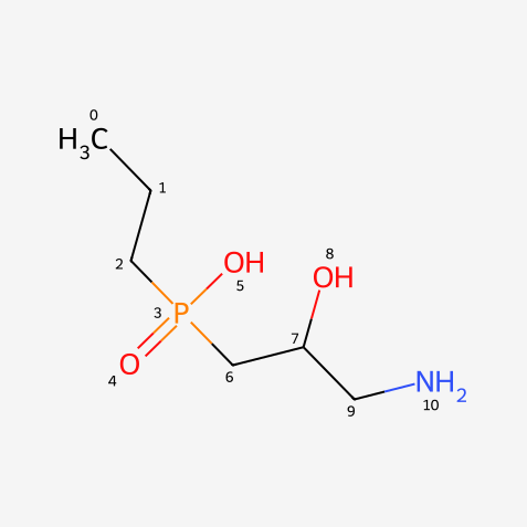 CCCP(=O)(O)CC(O)CN